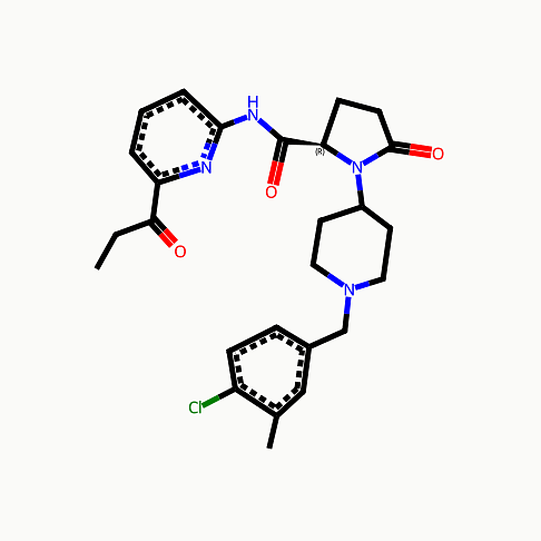 CCC(=O)c1cccc(NC(=O)[C@H]2CCC(=O)N2C2CCN(Cc3ccc(Cl)c(C)c3)CC2)n1